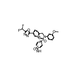 COc1cccc(N(Cc2ccc(-c3nnc(C(F)F)o3)cn2)S(=O)(=O)N2C=CS(=N)(=O)C=C2)c1